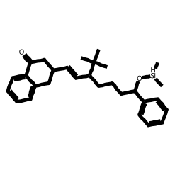 C[SiH](C)OC(CCCC(C=CC1CC(=O)c2ccccc2C1)C(C)(C)C)c1ccccc1